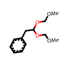 COCOC(Cc1ccccc1)OCOC